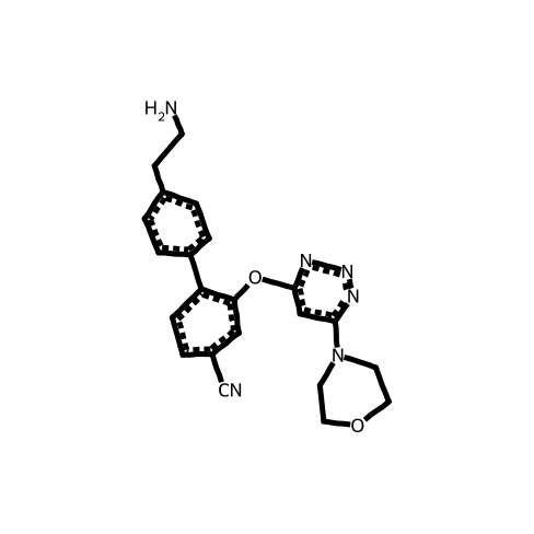 N#Cc1ccc(-c2ccc(CCN)cc2)c(Oc2cc(N3CCOCC3)nnn2)c1